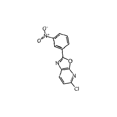 O=[N+]([O-])c1cccc(-c2nc3ccc(Cl)nc3o2)c1